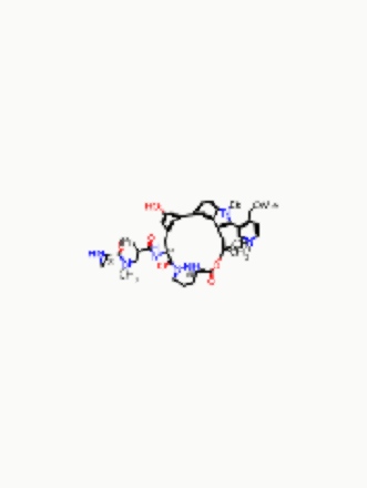 CCn1c(-c2cnccc2COC)c2c3cc(ccc31)-c1cc(O)cc(c1)C[C@H](NC(=O)C(CN(C)C(=O)[C@@H]1CN1)C(C)C)C(=O)N1CCC[C@H](N1)C(=O)OCC(C)(C)C2